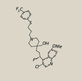 COc1ccc2ncc(Cl)c([C@@H](F)CCC3(CO)CCN(CCCSc4ccc(C(F)(F)F)cc4)CC3)c2c1